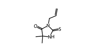 C=CCN1C(=O)C(C)(C)NC1=S